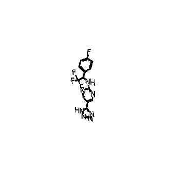 Fc1ccc(C(Nc2ncc(-c3nnn[nH]3)cn2)C(F)(F)F)cc1